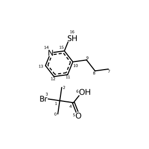 CC(C)(Br)C(=O)O.CCCc1cccnc1S